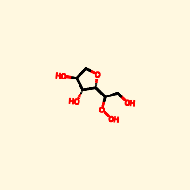 OC[C@@H](OO)[C@H]1OC[C@H](O)[C@H]1O